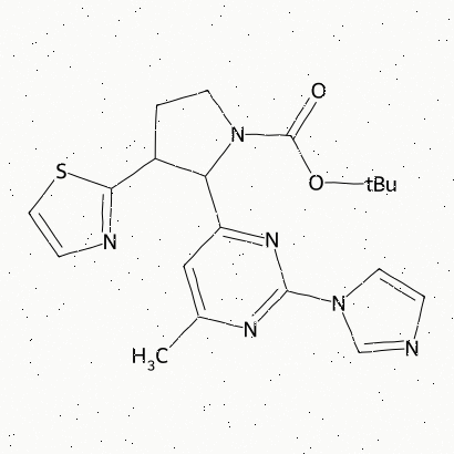 Cc1cc(C2C(c3nccs3)CCN2C(=O)OC(C)(C)C)nc(-n2ccnc2)n1